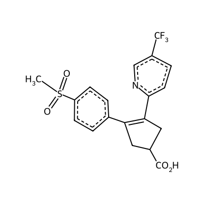 CS(=O)(=O)c1ccc(C2=C(c3ccc(C(F)(F)F)cn3)CC(C(=O)O)C2)cc1